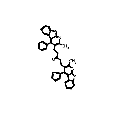 Cc1nc2sc3ccccc3c2c(-c2ccccc2)c1CCC(=O)CCc1c(C)nc2sc3ccccc3c2c1-c1ccccc1